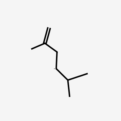 C=C(C)C[CH]C(C)C